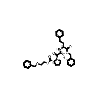 C[C@H](N[C@@H](CCc1ccccc1)C(=O)OCc1ccccc1)C(=O)N1CCC[C@H]1C(=O)OCCOCc1ccccc1